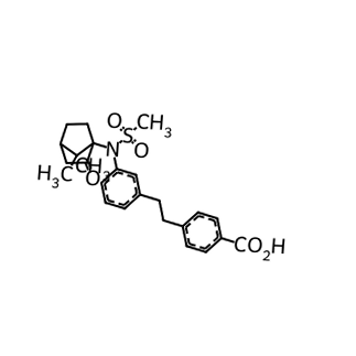 CC1(C)C2CCC1(N(c1cccc(CCc3ccc(C(=O)O)cc3)c1)S(C)(=O)=O)C(=O)C2